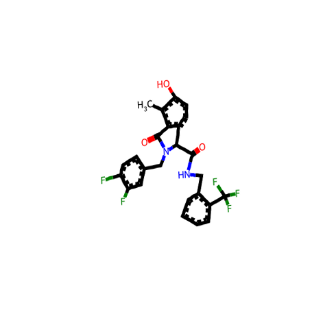 Cc1c(O)ccc2c1C(=O)N(Cc1ccc(F)c(F)c1)C2C(=O)NCc1ccccc1C(F)(F)F